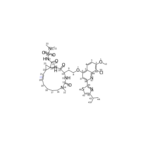 COc1ccc2c(OCCC3NC(=O)N(C)CCCC/C=C\C4CC4(C(=O)NS(=O)(=O)N(C)C)NC3=O)cc(-c3nc(C(C)C)cs3)nc2c1Cl